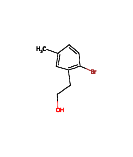 Cc1ccc(Br)c(CCO)c1